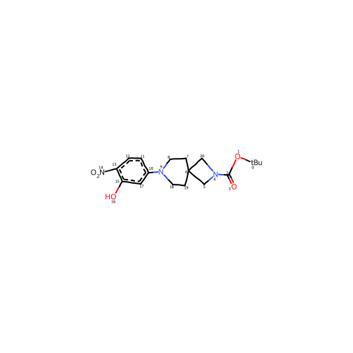 CC(C)(C)OC(=O)N1CC2(CCN(c3ccc([N+](=O)[O-])c(O)c3)CC2)C1